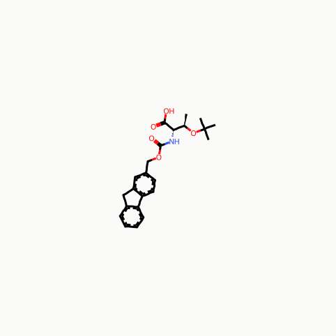 C[C@@H](OC(C)(C)C)[C@H](NC(=O)OCc1ccc2c(c1)Cc1ccccc1-2)C(=O)O